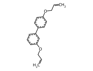 C=CCOc1ccc(-c2[c]ccc(OCC=C)c2)cc1